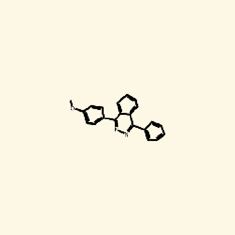 COc1ccc(-c2nnc(-c3ccccc3)c3ccccc23)cc1